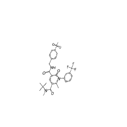 Cc1c(C(=O)N(C)C(C)(C)C)cc(C(=O)NCc2ccc(S(C)(=O)=O)cc2)c(=O)n1-c1cccc(C(F)(F)F)c1